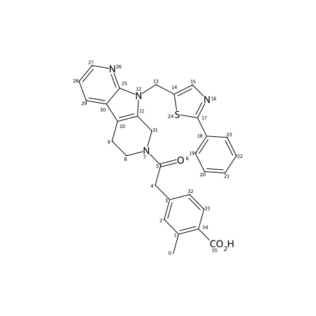 Cc1cc(CC(=O)N2CCc3c(n(Cc4cnc(-c5ccccc5)s4)c4ncccc34)C2)ccc1C(=O)O